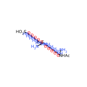 C=C(CCNC(=O)CCNC(=O)CCNC(=O)CCNC(=O)CCNC(=O)C(CCCCN)NC(C)=O)NC(CCCCN)C(=O)NCCC(=O)NCCC(=O)NCCC(=O)NCCC(=O)NCCC(=O)O